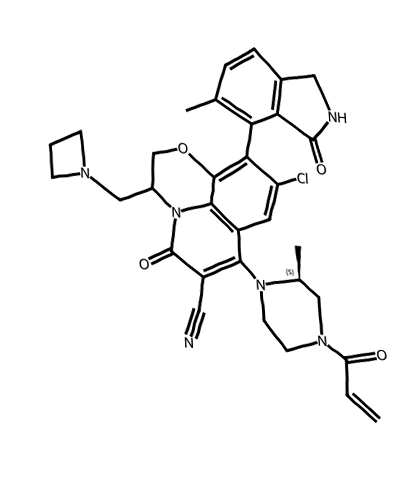 C=CC(=O)N1CCN(c2c(C#N)c(=O)n3c4c(c(-c5c(C)ccc6c5C(=O)NC6)c(Cl)cc24)OCC3CN2CCC2)[C@@H](C)C1